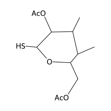 CC(=O)OCC1OC(S)C(OC(C)=O)C(C)C1C